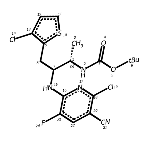 C[C@H](NC(=O)OC(C)(C)C)C(Cc1sccc1Cl)Nc1nc(Cl)c(C#N)cc1F